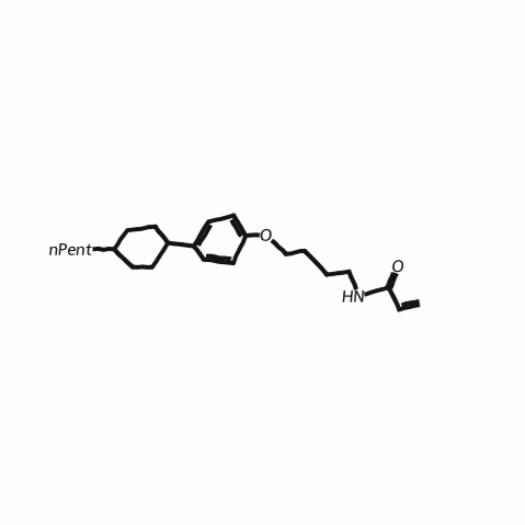 C=CC(=O)NCCCCOc1ccc(C2CCC(CCCCC)CC2)cc1